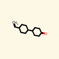 C=CC1CCC(C2CCC(=O)CC2)CC1